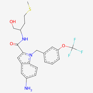 CSCCC(CO)NC(=O)c1cc2cc(N)ccc2n1Cc1cccc(OC(F)(F)F)c1